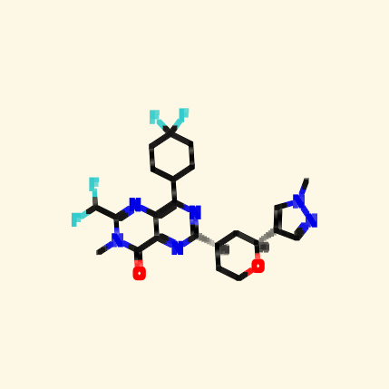 Cn1cc([C@H]2C[C@@H](c3nc(C4CCC(F)(F)CC4)c4nc(C(F)F)n(C)c(=O)c4n3)CCO2)cn1